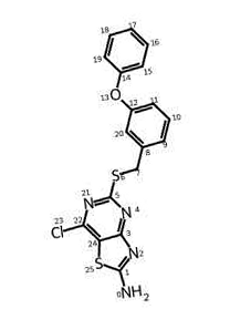 Nc1nc2nc(SCc3cccc(Oc4ccccc4)c3)nc(Cl)c2s1